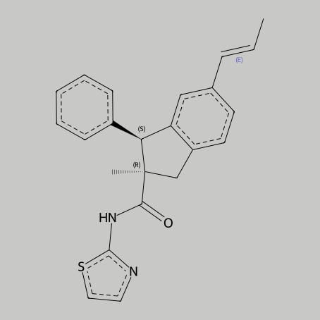 C/C=C/c1ccc2c(c1)[C@H](c1ccccc1)[C@](C)(C(=O)Nc1nccs1)C2